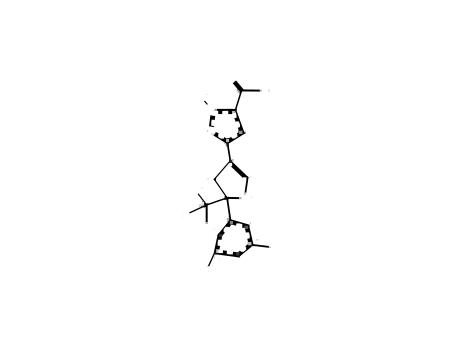 Cn1nc(C2=COC(c3cc(Cl)cc(Cl)c3)(C(F)(F)F)C2)cc1C(=O)O